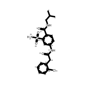 CC(C)CNC(=O)c1ccc(NC(=O)Cc2ccccc2Cl)cc1S(N)(=O)=O